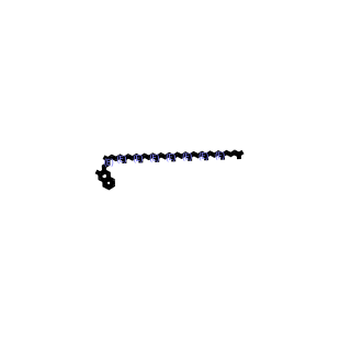 CC(C)=CCC/C(C)=C/CC/C(C)=C/CC/C(C)=C/CC/C(C)=C/CC/C(C)=C/CC/C(C)=C/CC/C(C)=C/CC/C(C)=C/CC1=C(C)Cc2ccccc2C1